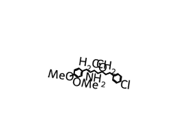 C=C.COc1ccc(CC(N)CCC(=O)CCc2ccc(Cl)cc2)cc1OC